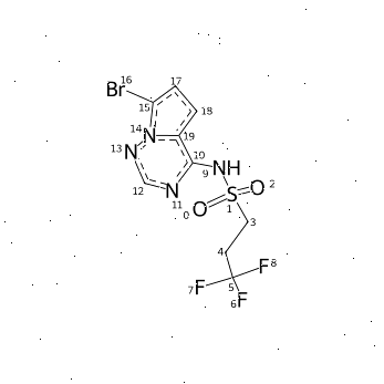 O=S(=O)(CCC(F)(F)F)Nc1ncnn2c(Br)ccc12